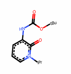 CC(C)n1cccc(NC(=O)OC(C)(C)C)c1=O